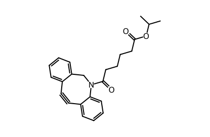 CC(C)OC(=O)CCCCC(=O)N1Cc2ccccc2C#Cc2ccccc21